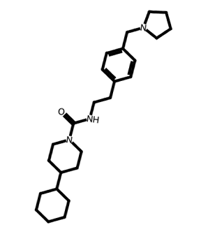 O=C(NCCc1ccc(CN2CCCC2)cc1)N1CCC(C2CCCCC2)CC1